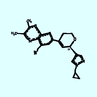 Cc1nc2cc(C3=C[C@H](c4cnn(C5CC5)c4)OCC3)cc(Br)c2nc1C